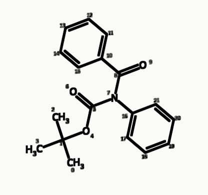 CC(C)(C)OC(=O)N(C(=O)c1ccccc1)c1ccccc1